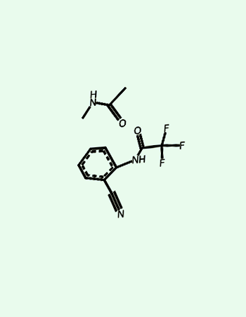 CNC(C)=O.N#Cc1ccccc1NC(=O)C(F)(F)F